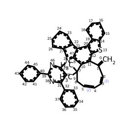 C=C1/C=C\C=C/CC(C)(C)c2c1c1sc3ccccc3c1c1c3ccccc3n(-c3cc(-c4ccccc4)nc(-c4ccccc4)n3)c21